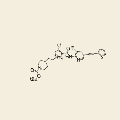 CC(C)(C)OC(=O)N1CCC(CCn2cc(Cl)c(C(=O)Nc3ncc(C#Cc4cccs4)cc3F)n2)CC1